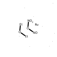 CCOCC.O=NO[N+](=O)[O-].[Ru]